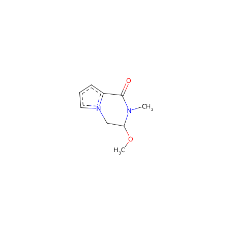 COC1Cn2cccc2C(=O)N1C